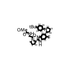 COC(=O)NCC(=O)N1CCC[C@H]1c1nc2cc([C@H]3CCCN3c3ccc(C(C)(C)C)cc3)c(F)cc2[nH]1